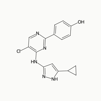 Oc1ccc(-c2ncc(Cl)c(Nc3cc(C4CC4)[nH]n3)n2)cc1